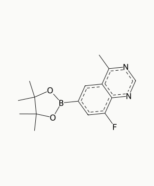 Cc1ncnc2c(F)cc(B3OC(C)(C)C(C)(C)O3)cc12